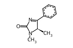 C[C@@H]1C(c2ccccc2)=NC(=O)N1C